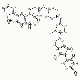 CC1CC(CN2CCC(CN3CCN4c5cc(-c6ccccc6O)nnc5NC[C@H]4C3)CC2)CCN1c1ccc2c(c1)C(=O)N(C1CCC(=O)NC1=O)C2=O